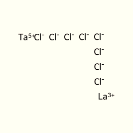 [Cl-].[Cl-].[Cl-].[Cl-].[Cl-].[Cl-].[Cl-].[Cl-].[La+3].[Ta+5]